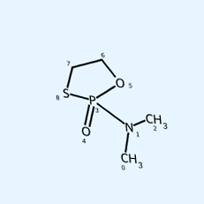 CN(C)P1(=O)OCCS1